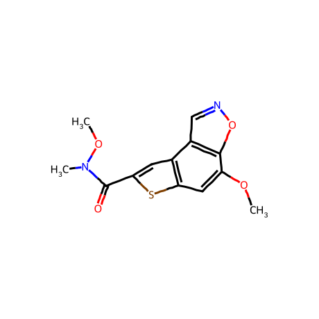 COc1cc2sc(C(=O)N(C)OC)cc2c2cnoc12